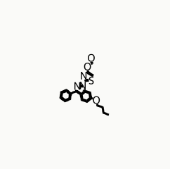 CCCCOc1ccc2c(-c3ccccc3)nn(-c3nc(OC=O)cs3)c2c1